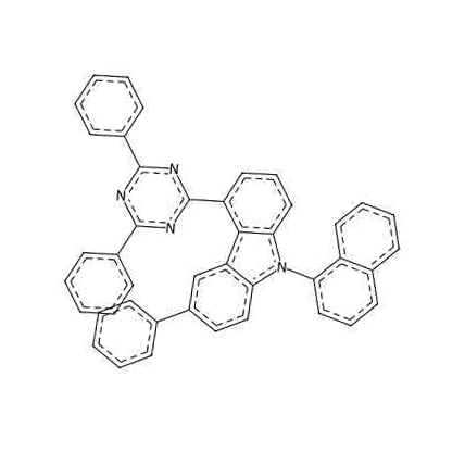 c1ccc(-c2ccc3c(c2)c2c(-c4nc(-c5ccccc5)nc(-c5ccccc5)n4)cccc2n3-c2cccc3ccccc23)cc1